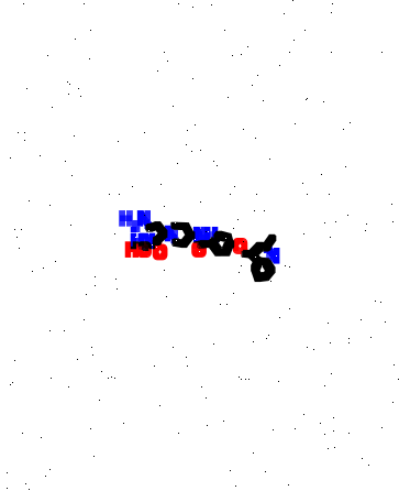 Cc1cc(COc2ccc(C(=O)NC3CCN(C(CCN)C(=O)NO)CC3)cc2)c2ccccc2n1